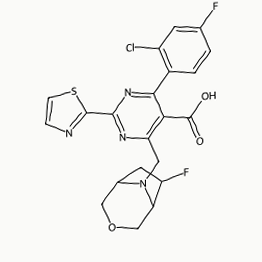 O=C(O)c1c(CN2C3COCC2C(F)C3)nc(-c2nccs2)nc1-c1ccc(F)cc1Cl